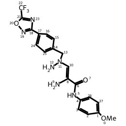 COc1ccc(NC(=O)/C(N)=C/N(N)Cc2ccc(-c3noc(C(F)(F)F)n3)cc2)cc1